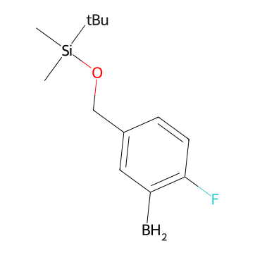 Bc1cc(CO[Si](C)(C)C(C)(C)C)ccc1F